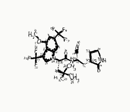 COc1cc(C(F)(F)F)cc2c1c(C(F)(F)F)cn2[C@@H](CC(C)(C)C)C(=O)N[C@H](C#N)C[C@@H]1CCNC1=O